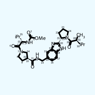 COC(=O)N[C@H](C(=O)N1CC[C@H](C(=O)NCc2ccc3[nH]c([C@@H]4CCCN4C(=O)[C@@H](C)C(C)C)nc3c2)C1)C(C)C